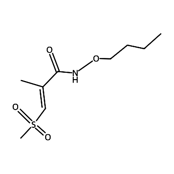 CCCCONC(=O)C(C)=CS(C)(=O)=O